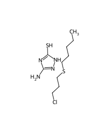 CCCCCSCCCCl.Nc1n[nH]c(S)n1